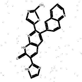 Cc1ncc(-c2nc3[nH]c(=O)c(-c4ncc[nH]4)cc3cc2-c2ccc3ncccc3c2)s1